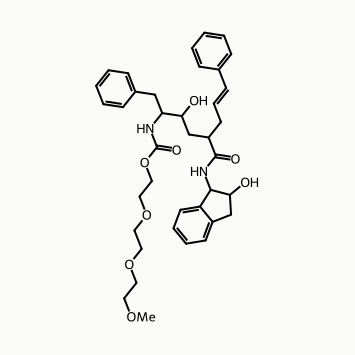 COCCOCCOCCOC(=O)NC(Cc1ccccc1)C(O)CC(C/C=C/c1ccccc1)C(=O)NC1c2ccccc2CC1O